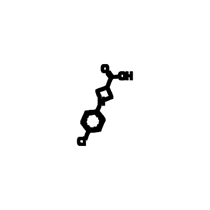 O=C(O)C1CN(c2ccc(Cl)cc2)C1